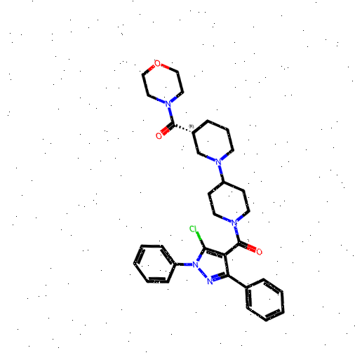 O=C(c1c(-c2ccccc2)nn(-c2ccccc2)c1Cl)N1CCC(N2CCC[C@@H](C(=O)N3CCOCC3)C2)CC1